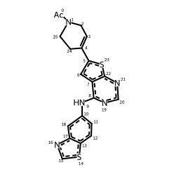 CC(=O)N1CC=C(c2cc3c(Nc4ccc5scnc5c4)ncnc3s2)CC1